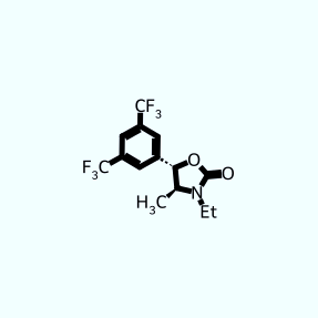 CCN1C(=O)O[C@@H](c2cc(C(F)(F)F)cc(C(F)(F)F)c2)[C@@H]1C